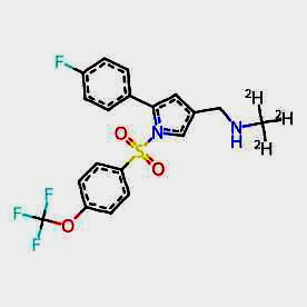 [2H]C([2H])([2H])NCc1cc(-c2ccc(F)cc2)n(S(=O)(=O)c2ccc(OC(F)(F)F)cc2)c1